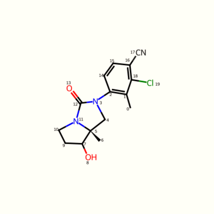 Cc1c(N2C[C@]3(C)C(O)CCN3C2=O)ccc(C#N)c1Cl